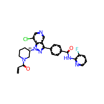 C=CC(=O)N1CCC[C@@H](n2nc(-c3ccc(C(=O)Nc4ncccc4F)cc3)c3cncc(Cl)c32)C1